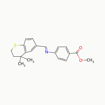 COC(=O)c1ccc(N=Cc2ccc3c(c2)C(C)(C)CCS3)cc1